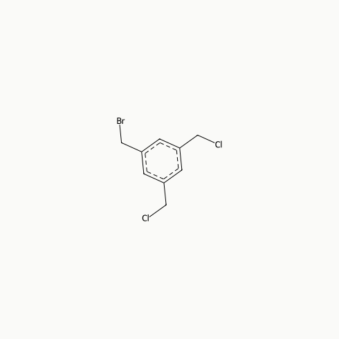 ClCc1cc(CCl)cc(CBr)c1